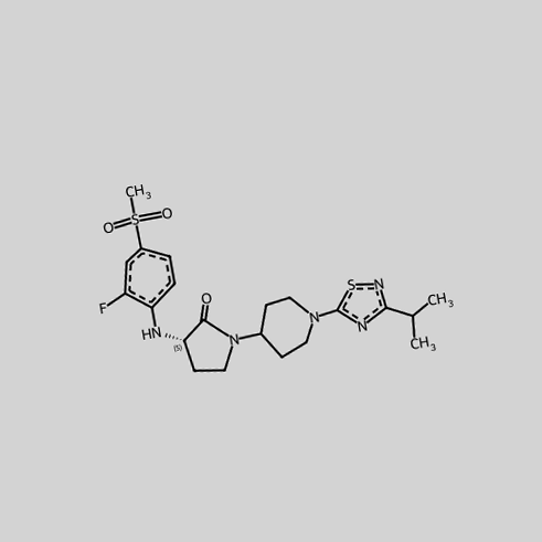 CC(C)c1nsc(N2CCC(N3CC[C@H](Nc4ccc(S(C)(=O)=O)cc4F)C3=O)CC2)n1